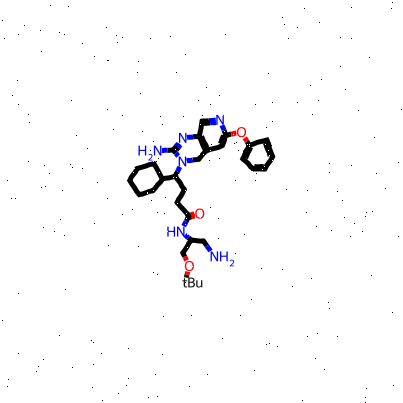 CC(C)(C)OCC(CN)NC(=O)CCC(C1CCCCC1)N1Cc2cc(Oc3ccccc3)ncc2N=C1N